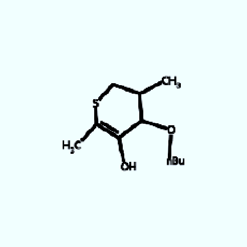 CCCCOC1C(O)=C(C)SCC1C